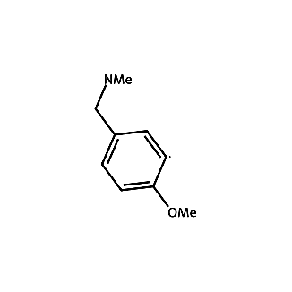 CNCc1c[c]c(OC)cc1